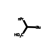 CCCC(C(=O)O)C(C)CC